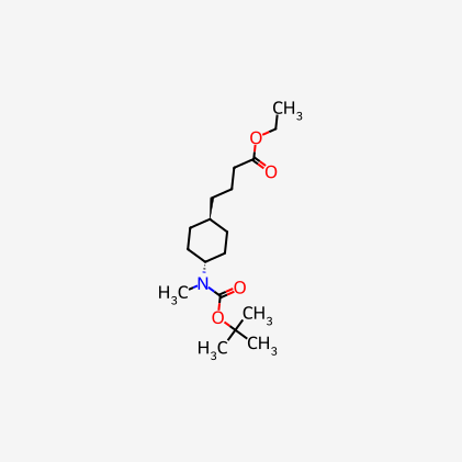 CCOC(=O)CCC[C@H]1CC[C@H](N(C)C(=O)OC(C)(C)C)CC1